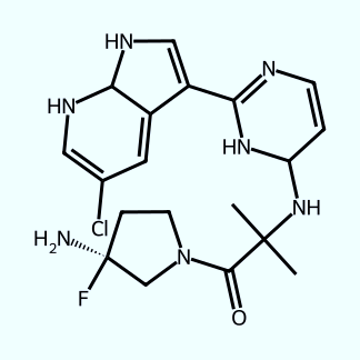 CC(C)(NC1C=CN=C(C2=CNC3NC=C(Cl)C=C23)N1)C(=O)N1CC[C@](N)(F)C1